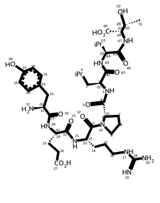 CC(C)C[C@H](NC(=O)[C@@H]1CCCN1C(=O)[C@H](CCCNC(=N)N)NC(=O)[C@H](CCC(=O)O)NC(=O)[C@@H](N)Cc1ccc(O)cc1)C(=O)N[C@H](C(=O)N[C@H](C(=O)O)[C@@H](C)O)C(C)C